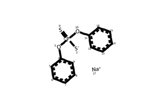 S=P([S-])(Oc1ccccc1)Oc1ccccc1.[Na+]